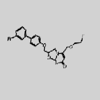 CC(C)c1cccc(-c2ccc(OCC3Cn4c(COCCF)cc(=O)nc4O3)cc2)c1